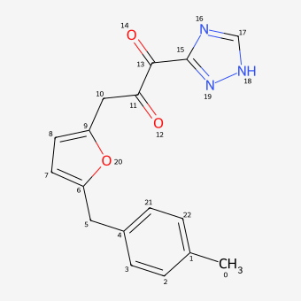 Cc1ccc(Cc2ccc(CC(=O)C(=O)c3nc[nH]n3)o2)cc1